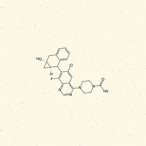 CCCC(=O)N1CCN(c2ncnc3c(F)c(C4c5ccccc5C[C@]5(O)C[C@H]45)c(Cl)cc23)CC1